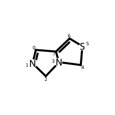 C1=NCN2CSC=C12